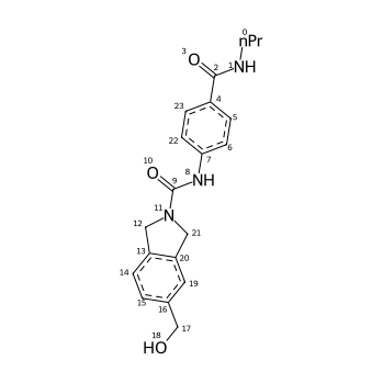 CCCNC(=O)c1ccc(NC(=O)N2Cc3ccc(CO)cc3C2)cc1